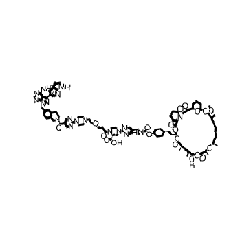 CO[C@H]1CC2CCCC(O2)C(=O)C(=O)N2CCCC[C@H]2C(=O)O[C@H](CC[C@H]2CC[C@H](OC(=O)NCc3cnc(N4CCN(C(=O)CCOCCN5CCN(c6ncc(C(=O)N7CCc8cc(Cn9nc(-c%10cnc%11[nH]ccc%11c%10)c%10c(N)ncnc%109)ccc8C7)cn6)CC5)[C@@H](C(=O)O)C4)nc3)CC2)CC(=O)[C@H](C)/C=C(\C)[C@@H](O)CC(=O)[C@H](C)C[C@H](C)/C=C/C=C/C=C/1C